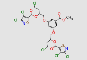 COC(=O)c1cc(OCC(CCCl)OC(=O)c2snc(Cl)c2Cl)cc(OCC(CCCl)OC(=O)c2snc(Cl)c2Cl)c1